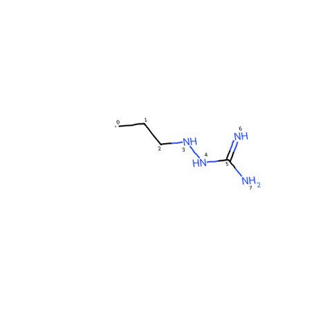 [CH2]CCNNC(=N)N